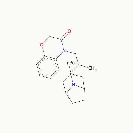 CCCCC1CC2CCC(C1)N2CC(C)CN1C(=O)COc2ccccc21